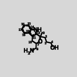 CC1(CCCO)OC(CN)Cc2c1[nH]c1ccccc21